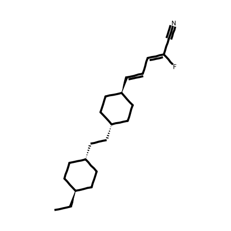 CC[C@H]1CC[C@H](CC[C@H]2CC[C@H](/C=C/C=C(\F)C#N)CC2)CC1